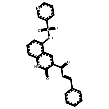 O=C(C=Cc1ccccc1)c1cc2c(NS(=O)(=O)c3cccnc3)cccc2[nH]c1=O